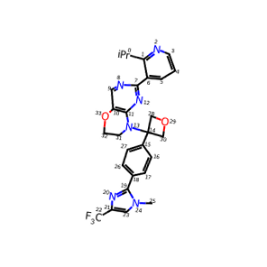 CC(C)c1ncccc1-c1ncc2c(n1)N(C1(c3ccc(-c4nc(C(F)(F)F)cn4C)cc3)COC1)CCO2